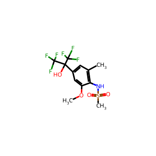 COc1cc(C(O)(C(F)(F)F)C(F)(F)F)cc(C)c1NS(C)(=O)=O